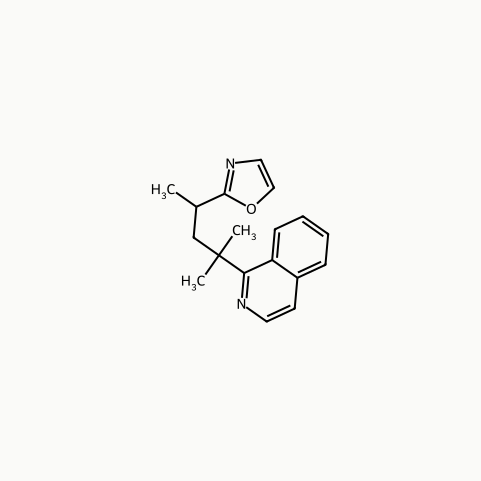 CC(CC(C)(C)c1nccc2ccccc12)c1ncco1